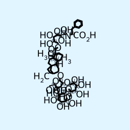 C=C1CC23CC[C@H]4[C@@](C)(CCC[C@@]4(C)C(=O)OC4O[C@H](C(O)N[C@H](Cc5ccccc5)C(=O)O)[C@@H](O)C(O)[C@H]4O)[C@@H]2CC(O[C@@H]2O[C@H](CO)[C@@H](O)C(O[C@@H]4O[C@H](CO)[C@@H](O)[C@H](O)[C@H]4O)[C@H]2O[C@@H]2O[C@H](CO)[C@@H](O)[C@H](O)[C@H]2O)C1C3